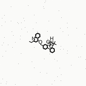 CCc1cc(OCc2ccc(-c3ccccc3)c(S(=O)(=O)NC(C)(C)C)c2)c2ccccc2n1